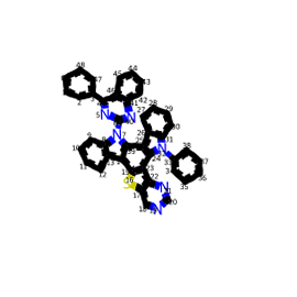 c1ccc(-c2nc(-n3c4ccccc4c4c5sc6cncnc6c5c5c(c6ccccc6n5-c5ccccc5)c43)nc3ccccc23)cc1